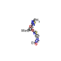 CCC(=O)N1CCN(Cc2ccc(-c3nc(COc4cc(OC)cc5oc(-c6cn7nc(C)sc7n6)cc45)cs3)cc2)CC1